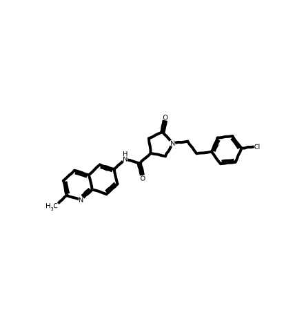 Cc1ccc2cc(NC(=O)C3CC(=O)N(CCc4ccc(Cl)cc4)C3)ccc2n1